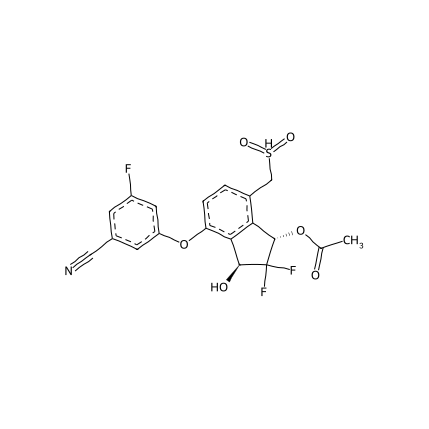 CC(=O)O[C@H]1c2c(C[SH](=O)=O)ccc(Oc3cc(F)cc(C#N)c3)c2[C@H](O)C1(F)F